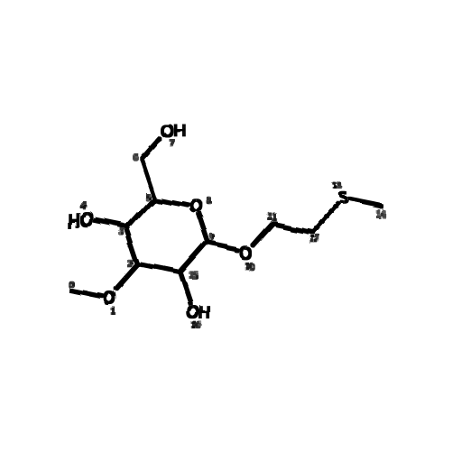 COC1C(O)C(CO)OC(OCCSC)C1O